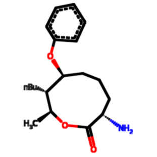 CCCC[C@H]1[C@H](C)OC(=O)[C@@H](N)CCC[C@@H]1Oc1ccccc1